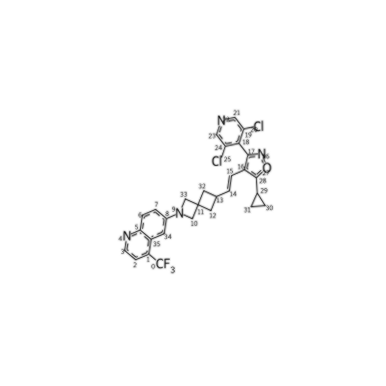 FC(F)(F)c1ccnc2ccc(N3CC4(CC(/C=C/c5c(-c6c(Cl)cncc6Cl)noc5C5CC5)C4)C3)cc12